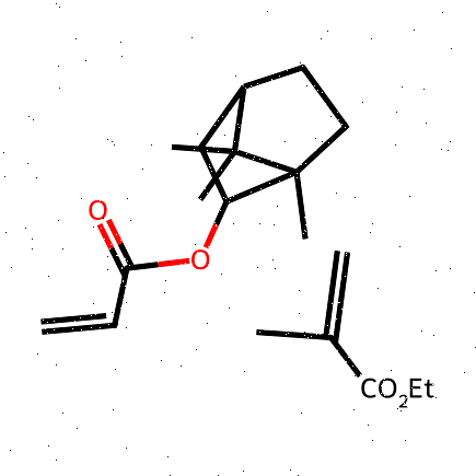 C=C(C)C(=O)OCC.C=CC(=O)OC1CC2CCC1(C)C2(C)C